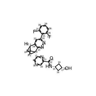 CC1(C)[C@H]2CC[C@]1(c1cncc(C(=O)N[C@H]3C[C@@H](O)C3)n1)c1nnc(-c3c(F)cccc3F)cc12